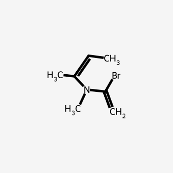 C=C(Br)N(C)/C(C)=C\C